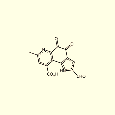 Cc1cc(C(=O)O)c2c(n1)C(=O)C(=O)c1cc(C=O)[nH]c1-2